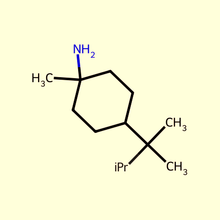 CC(C)C(C)(C)C1CCC(C)(N)CC1